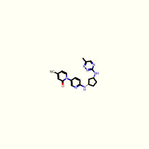 Cc1cnc(N[C@H]2CC[C@H](Nc3ccc(-n4ccc(C#N)cc4=O)cn3)C2)nn1